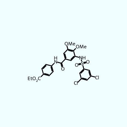 CCOC(=O)c1ccc(NC(=O)c2cc(NS(=O)(=O)c3cc(Cl)cc(Cl)c3)c(OC)c(OC)c2)cc1